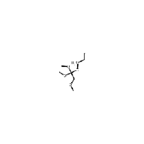 CC[SiH2]OC(COC)(OC)OC